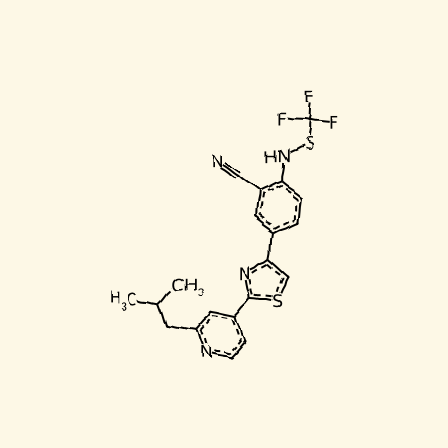 CC(C)Cc1cc(-c2nc(-c3ccc(NSC(F)(F)F)c(C#N)c3)cs2)ccn1